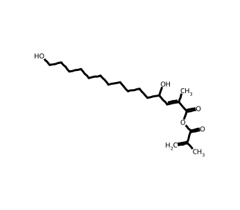 C=C(C)C(=O)OC(=O)C(C)=CC(O)CCCCCCCCCCCO